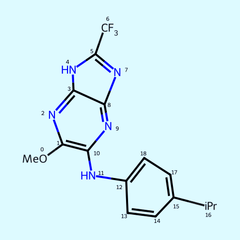 COc1nc2[nH]c(C(F)(F)F)nc2nc1Nc1ccc(C(C)C)cc1